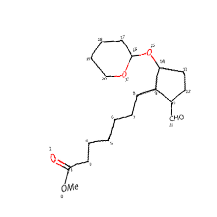 COC(=O)CCCCCCC1C(C=O)CCC1OC1CCCCO1